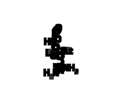 CCOc1cc(Cc2cnc(N)nc2N)cc(OCC)c1-c1ccc(NC(=O)CN2CCOCC2)cc1